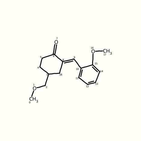 COCC1CCC(=O)C(=Cc2ccccc2OC)C1